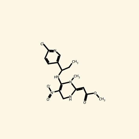 CCC(NC1=C([N+](=O)[O-])CNC(=CC(=O)OC)N1C)c1ccc(Cl)nc1